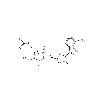 CC(C)OC(=O)[C@@H](C)NP(=O)(OCCSC(=O)C(C)(C)C)OC[C@@H]1C[C@H](C)[C@H](n2cnc3c(N)ncnc32)O1